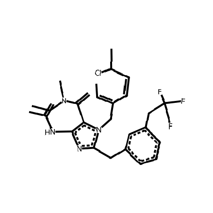 C=C(C)Nc1nc(Cc2cccc(CC(F)(F)F)c2)n(CC(/C=C\C(C)Cl)=C/C)c1C(=C)N(C)CC